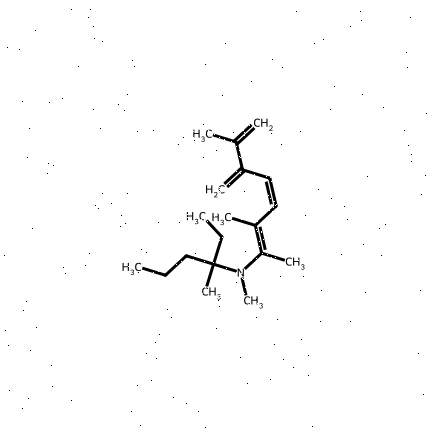 C=C(C)C(=C)/C=C\C(C)=C(/C)N(C)C(C)(CC)CCC